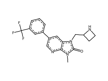 Cn1c(=O)n(CC2CCN2)c2cc(-c3cccc(C(F)(F)F)c3)cnc21